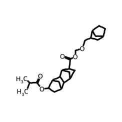 CC(C)C(=O)OC1CC2CC1C1C3CC(CC3C(=O)OCOCC3CC4CCC3C4)C21